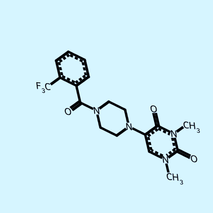 Cn1cc(N2CCN(C(=O)c3ccccc3C(F)(F)F)CC2)c(=O)n(C)c1=O